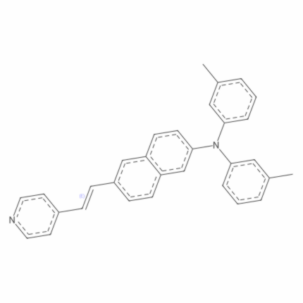 Cc1cccc(N(c2cccc(C)c2)c2ccc3cc(/C=C/c4ccncc4)ccc3c2)c1